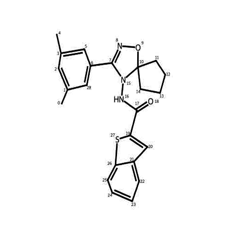 Cc1cc(C)cc(C2=NOC3(CCCC3)N2NC(=O)c2cc3ccccc3s2)c1